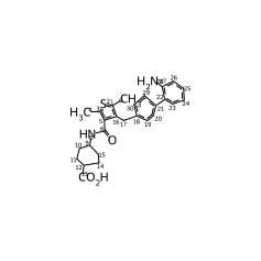 Cc1sc(C)c(C(=O)NC2CCC(C(=O)O)CC2)c1Cc1ccc(-c2ccccc2N)cc1